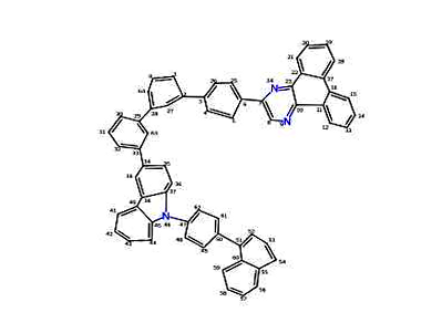 c1cc(-c2ccc(-c3cnc4c5ccccc5c5ccccc5c4n3)cc2)cc(-c2cccc(-c3ccc4c(c3)c3ccccc3n4-c3ccc(-c4cccc5ccccc45)cc3)c2)c1